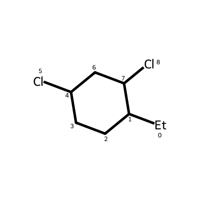 CCC1CCC(Cl)CC1Cl